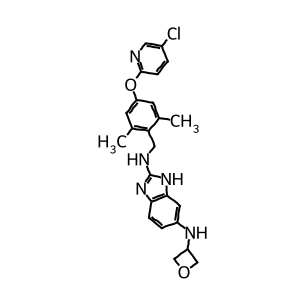 Cc1cc(Oc2ccc(Cl)cn2)cc(C)c1CNc1nc2ccc(NC3COC3)cc2[nH]1